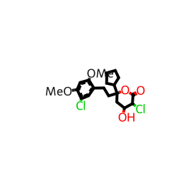 COc1cc(OC)c(CCC2(C3CCCC3)CC(O)C(Cl)C(=O)O2)cc1Cl